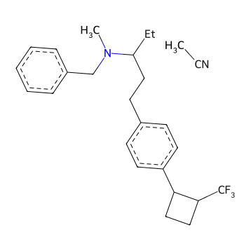 CC#N.CCC(CCc1ccc(C2CCC2C(F)(F)F)cc1)N(C)Cc1ccccc1